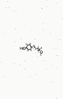 CO[Si](C)(C)CCSc1ccc(O)cc1